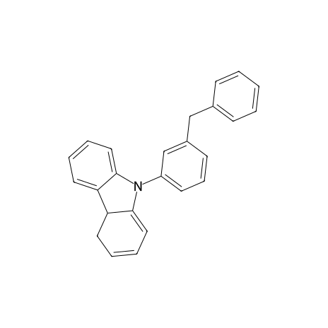 C1=CCC2C(=C1)N(c1cccc(Cc3ccccc3)c1)c1ccccc12